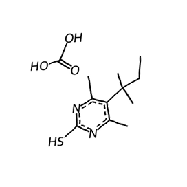 CCC(C)(C)c1c(C)nc(S)nc1C.O=C(O)O